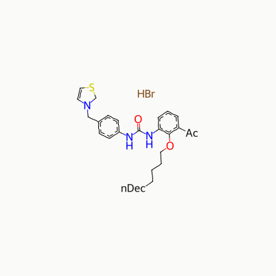 Br.CCCCCCCCCCCCCCOc1c(NC(=O)Nc2ccc(CN3C=CSC3)cc2)cccc1C(C)=O